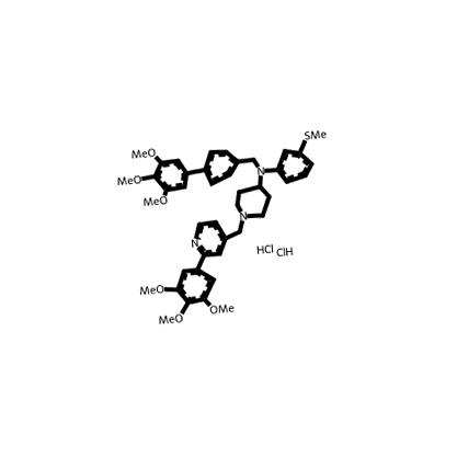 COc1cc(-c2ccc(CN(c3cccc(SC)c3)C3CCN(Cc4ccnc(-c5cc(OC)c(OC)c(OC)c5)c4)CC3)cc2)cc(OC)c1OC.Cl.Cl